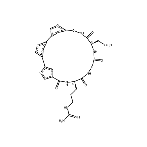 N=C(N)NCCC[C@H]1NC(=O)c2csc(n2)-c2csc(n2)-c2csc(n2)CNC(=O)[C@@H](CC(=O)O)NC(=O)CNC1=O